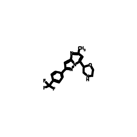 Cc1cc(C2CNCCO2)n2nc(-c3ccc(C(F)(F)F)cc3)cc2n1